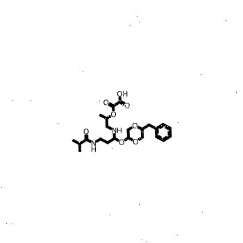 CC(CNC(CCNC(=O)C(C)C)OC1COC(Cc2ccccc2)CO1)OC(=O)C(=O)O